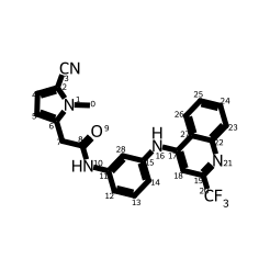 Cn1c(C#N)ccc1CC(=O)Nc1cccc(Nc2cc(C(F)(F)F)nc3ccccc23)c1